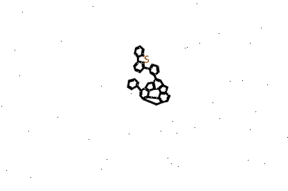 c1ccc(-c2cc3c4c5c(ccc6c5c5c(cc(-c7cccc(-c8cccc9c8sc8ccccc89)c7)c7c5c4c2C7)C6)C3)cc1